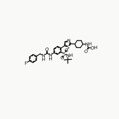 CC(C)(C)NS(=O)(=O)c1cc(NC(=O)NCc2ccc(F)cc2)ccc1-c1cnc(C2CCC(NC(=O)O)CC2)s1